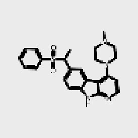 CC(c1ccc2[nH]c3nccc(N4CCN(C)CC4)c3c2c1)S(=O)(=O)c1ccccc1